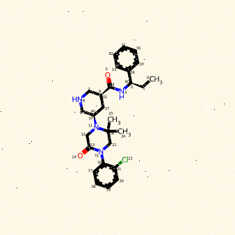 CC[C@@H](NC(=O)[C@@H]1CNC[C@H](N2CC(=O)N(c3ccccc3Cl)CC2(C)C)C1)c1ccccc1